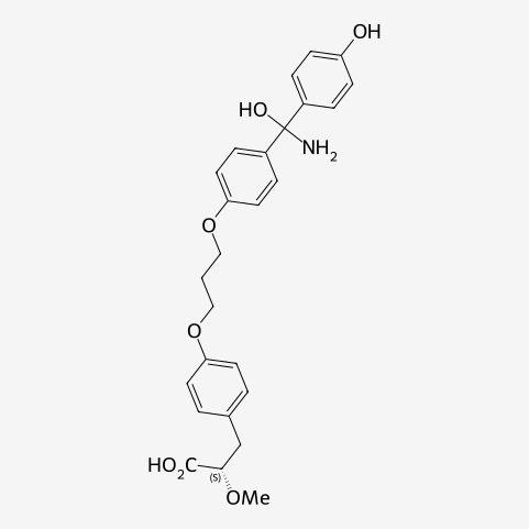 CO[C@@H](Cc1ccc(OCCCOc2ccc(C(N)(O)c3ccc(O)cc3)cc2)cc1)C(=O)O